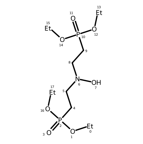 CCOP(=O)(CCN(O)CCP(=O)(OCC)OCC)OCC